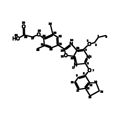 CCCOc1nc(Oc2cccc3c2CCC3)nc2oc(-c3cc(C)c(OCC(=O)O)c(C)c3)nc12